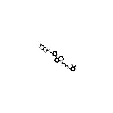 Cc1cccc(OCCCC(=O)N2CCCc3c(-c4cccc(COC(=O)N[C@H](CC(N)=O)C(=O)O)c4)cccc32)c1C